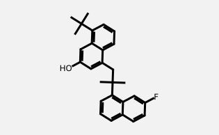 CC(C)(C)c1cccc2c(CC(C)(C)c3cccc4ccc(F)cc34)cc(O)cc12